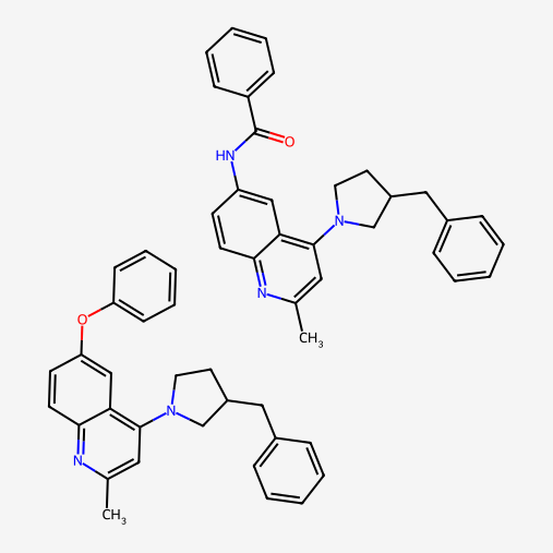 Cc1cc(N2CCC(Cc3ccccc3)C2)c2cc(NC(=O)c3ccccc3)ccc2n1.Cc1cc(N2CCC(Cc3ccccc3)C2)c2cc(Oc3ccccc3)ccc2n1